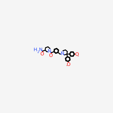 COc1ccc(C2(c3ccc(OC)cc3)CCCN(Cc3cccc(C(=O)N4CCCC(C(N)=O)C4)c3)C2)cc1